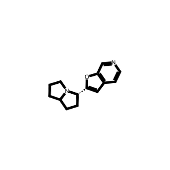 c1cc2cc([C@@H]3CCC4CCCN43)oc2cn1